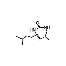 CC(C)CCC1=CC(C)CNC(=O)N1